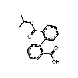 CC(C)OC(=O)c1ccccc1-c1ccccc1C(=O)O